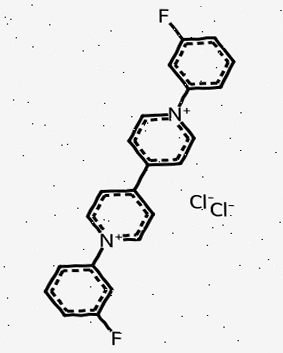 Fc1cccc(-[n+]2ccc(-c3cc[n+](-c4cccc(F)c4)cc3)cc2)c1.[Cl-].[Cl-]